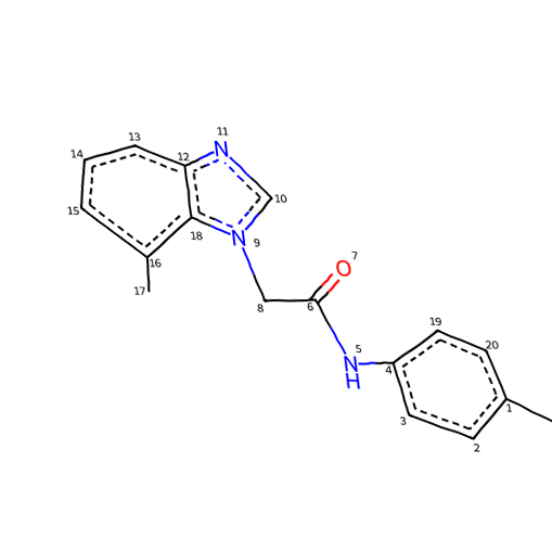 Cc1ccc(NC(=O)Cn2cnc3cccc(C)c32)cc1